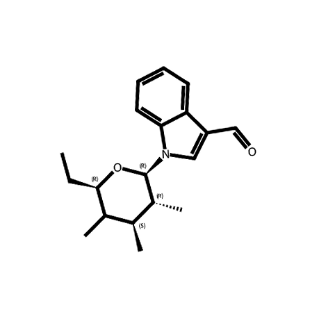 CC[C@H]1O[C@@H](n2cc(C=O)c3ccccc32)[C@H](C)[C@@H](C)C1C